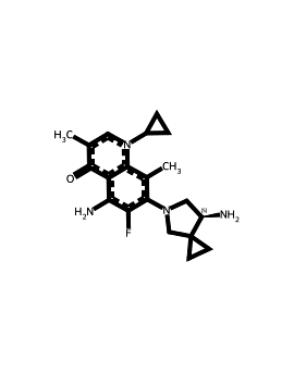 Cc1cn(C2CC2)c2c(C)c(N3C[C@@H](N)C4(CC4)C3)c(F)c(N)c2c1=O